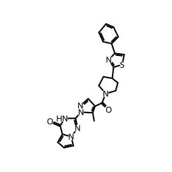 Cc1c(C(=O)N2CCC(c3nc(-c4ccccc4)cs3)CC2)cnn1-c1nn2cccc2c(=O)[nH]1